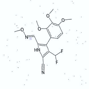 CO/N=C/c1[nH]c(C#N)c(C(F)F)c1-c1ccc(OC)c(OC)c1OC